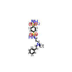 CCN(CCCNS(=O)(=O)c1ccc(S(N)(=O)=O)cc1)CCc1ccccc1